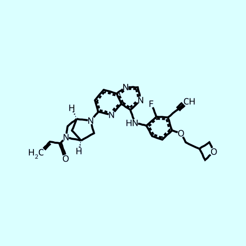 C#Cc1c(OCC2COC2)ccc(Nc2ncnc3ccc(N4C[C@@H]5C[C@H]4CN5C(=O)C=C)nc23)c1F